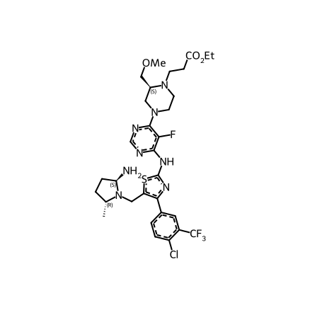 CCOC(=O)CCN1CCN(c2ncnc(Nc3nc(-c4ccc(Cl)c(C(F)(F)F)c4)c(CN4[C@H](C)CC[C@H]4N)s3)c2F)C[C@H]1COC